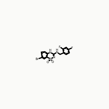 O=S1(=O)N=C(NCc2ccc(F)cc2F)Nc2ccc(Br)cc21